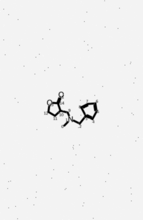 CN(Cc1ccccc1)CC1CCOC1=O